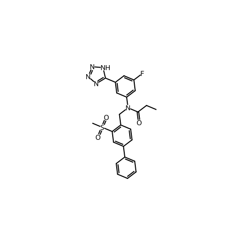 CCC(=O)N(Cc1ccc(-c2ccccc2)cc1S(C)(=O)=O)c1cc(F)cc(-c2nnn[nH]2)c1